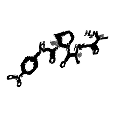 C[C@H](N)C(=O)N[C@@H](C)C(=O)N1CCC[C@H]1C(=O)Nc1ccc([N+](=O)[O-])cc1